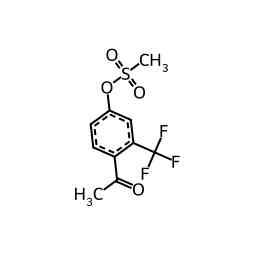 CC(=O)c1ccc(OS(C)(=O)=O)cc1C(F)(F)F